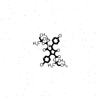 CCC(C)(C)OC(=O)C1C(=O)C2=C(c3ccc(Cl)cc3)N(C(=O)OC(C)(C)CC)C(=O)C2=C1c1ccc(Cl)cc1